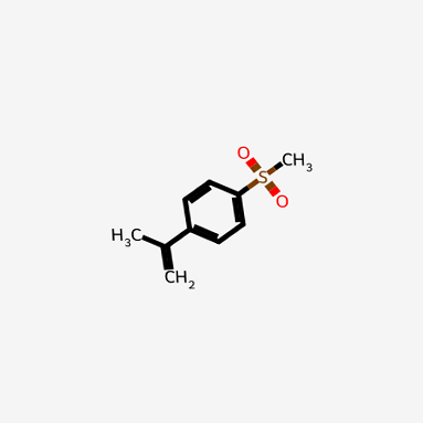 C=C(C)c1ccc(S(C)(=O)=O)cc1